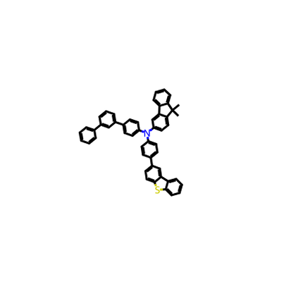 CC1(C)c2ccccc2-c2cc(N(c3ccc(-c4cccc(-c5ccccc5)c4)cc3)c3ccc(-c4ccc5sc6ccccc6c5c4)cc3)ccc21